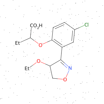 CCOC1CON=C1c1cc(Cl)ccc1OC(CC)C(=O)O